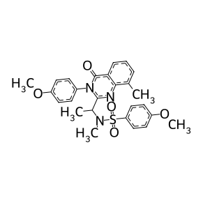 COc1ccc(-n2c(C(C)N(C)S(=O)(=O)c3ccc(OC)cc3)nc3c(C)cccc3c2=O)cc1